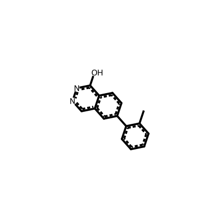 Cc1ccccc1-c1ccc2c(O)nncc2c1